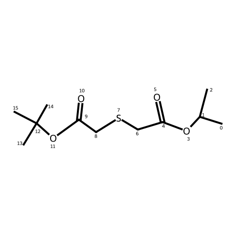 CC(C)OC(=O)CSCC(=O)OC(C)(C)C